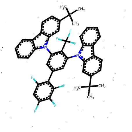 CC(C)(C)c1ccc2c3ccccc3n(-c3cc(-c4c(F)cc(F)c(F)c4F)cc(-n4c5ccccc5c5ccc(C(C)(C)C)cc54)c3C(F)(F)F)c2c1